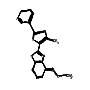 CO/N=C1\CCCc2oc(-c3sc(-c4cccnc4)nc3C)nc21